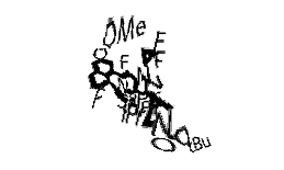 COCOc1cc(-c2ncc3c(C4C5CN(C(=O)OC(C)(C)C)CC54)nn(C4CC4(F)F)c3c2F)c2c(C#C[Si](C(C)C)(C(C)C)C(C)C)c(F)ccc2c1